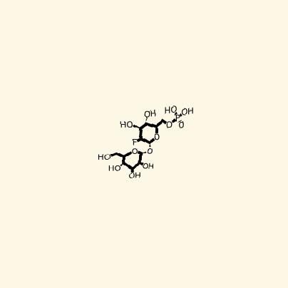 O=P(O)(O)OCC1O[C@H](O[C@H]2OC(CO)[C@@H](O)C(O)C2O)C(F)[C@@H](O)[C@@H]1O